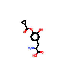 N[C@@H](Cc1ccc(OC(=O)C2CC2)c(O)c1)C(=O)O